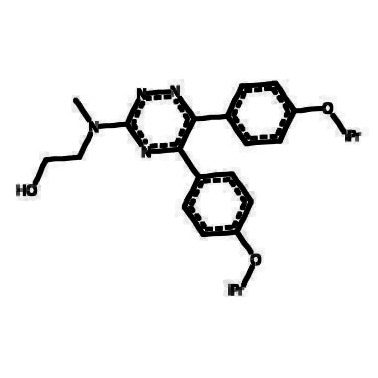 CC(C)Oc1ccc(-c2nnc(N(C)CCO)nc2-c2ccc(OC(C)C)cc2)cc1